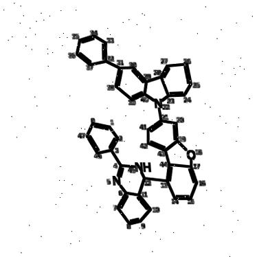 c1ccc(C2=Nc3ccccc3C(c3cccc4oc5cc(-n6c7ccccc7c7cc(-c8ccccc8)ccc76)ccc5c34)N2)cc1